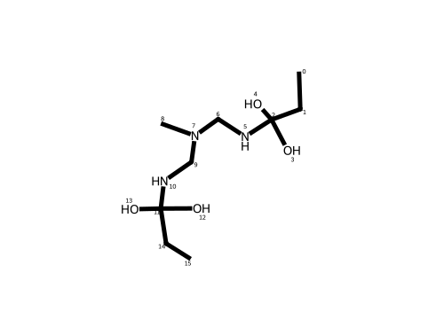 CCC(O)(O)NCN(C)CNC(O)(O)CC